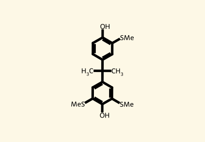 CSc1cc(C(C)(C)c2cc(SC)c(O)c(SC)c2)ccc1O